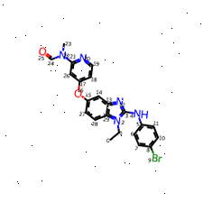 CCn1c(Nc2ccc(Br)cc2)nc2cc(Oc3ccnc(N(C)C=O)c3)ccc21